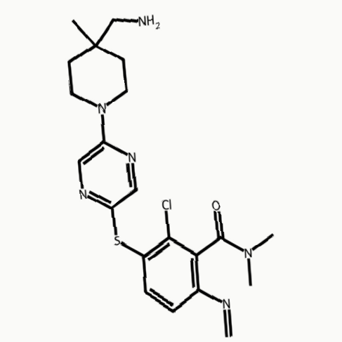 C=Nc1ccc(Sc2cnc(N3CCC(C)(CN)CC3)cn2)c(Cl)c1C(=O)N(C)C